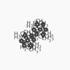 Cc1c(C)c(C)c2sc3c(-n4c5ccccc5c5c(-c6cccc7c6c6ccccc6n7-c6c7sc8c(C)c(C)c(C)c(C)c8sc7c(-n7c8ccccc8c8ccccc87)c7sc8c(C)c(C)c(C)c(C)c8sc67)cccc54)c4sc5c(C)c(C)c(C)c(C)c5sc4c(N(c4ccccc4)c4ccccc4)c3sc2c1C